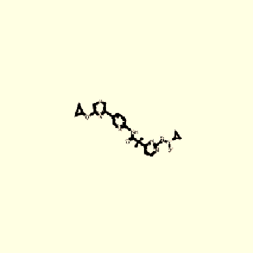 CC(C)(C(=O)Nc1ccc(-c2cncc(OC3CC3)n2)cn1)c1ccnc(N[S+]([O-])C2CC2)n1